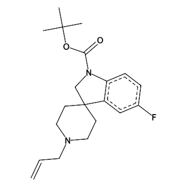 C=CCN1CCC2(CC1)CN(C(=O)OC(C)(C)C)c1ccc(F)cc12